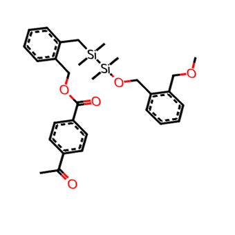 COCc1ccccc1CO[Si](C)(C)[Si](C)(C)Cc1ccccc1COC(=O)c1ccc(C(C)=O)cc1